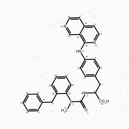 CN(C(=O)NC(Cc1ccc(Nc2nccc3ccncc23)cc1)C(=O)O)c1ccccc1Cc1ccccc1